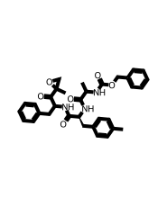 Cc1ccc(C[C@H](NC(=O)C(C)NC(=O)OCc2ccccc2)C(=O)NC(Cc2ccccc2)C(=O)C2(C)CO2)cc1